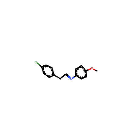 COc1ccc(N=CCc2ccc(Cl)cc2)cc1